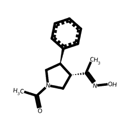 CC(=O)N1C[C@@H](/C(C)=N/O)[C@H](c2ccccc2)C1